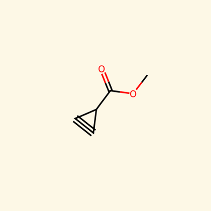 COC(=O)C1C#C1